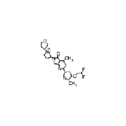 CC1CC(C2C=NC(C)C(OCC(F)F)C2)N=C2CN(C3CCN([C@H]4CCOC4)N3)C(=O)C21